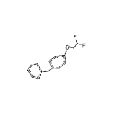 FC(F)COc1ccc(Cc2ccccc2)cc1